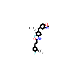 O=C(C=Cc1ccc(F)c(C(F)(F)F)c1)Nc1ccc(C(C(=O)O)c2ccc3ocnc3c2)cc1F